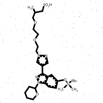 CC(COCCOCCn1cc(-c2nn(C3CCCCO3)c3ccc(O[Si](C)(C)C(C)(C)C)cc23)cn1)CS(=O)(=O)O